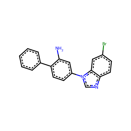 Nc1cc(-n2cnc3ccc(Br)cc32)ccc1-c1ccccc1